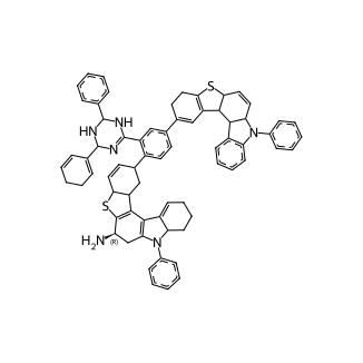 N[C@@H]1CC2=C(C3=CCCCC3N2c2ccccc2)C2=C1SC1C=CC(c3ccc(C4=CC5=C(CC4)SC4C=CC6C(c7ccccc7N6c6ccccc6)C54)cc3C3=NC(C4=CCCC=C4)NC(c4ccccc4)N3)CC21